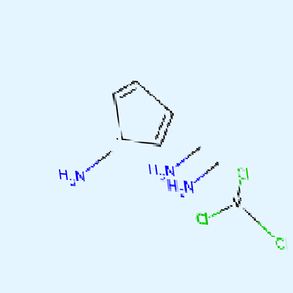 CN.CN.CN.[CH]1C=CC=C1.[Cl][V]([Cl])[Cl]